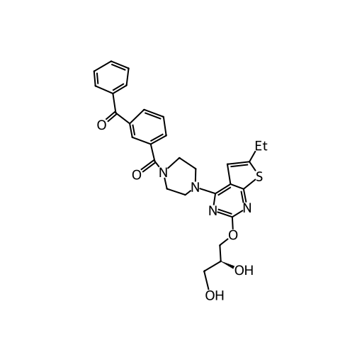 CCc1cc2c(N3CCN(C(=O)c4cccc(C(=O)c5ccccc5)c4)CC3)nc(OC[C@@H](O)CO)nc2s1